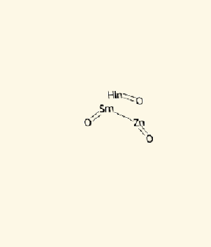 [O]=[InH].[O]=[Zn][Sm]=[O]